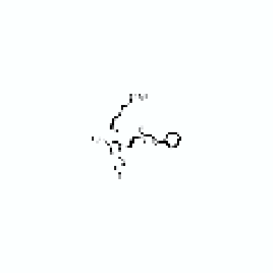 C[C@H]1C[C@@H](OPI)[C@H](/C=C/C(F)(F)COc2ccccc2)[C@H]1C/C=C\CCCC(=O)O